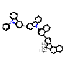 CC1(C)c2cc(-c3ccc(-n4c5ccccc5c5cc(-c6ccc7c(c6)c6ccccc6n7-c6ccccc6)ccc54)c4ccccc34)ccc2-c2c1ccc1ccccc21